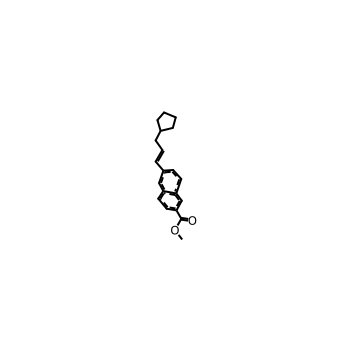 COC(=O)c1ccc2cc(/C=C/CC3CCCC3)ccc2c1